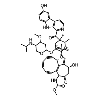 COC(=O)NC1C(=O)C[C@H](O)/C(=C/CS(C)(=S)=S)C2=C1C#C/C=C\C#C[C@@H]2OC1OC(C)C(F)(C(=O)c2nccc3c2[nH]c2ccc(O)cc23)CC1OC1CC(OC)C(NC(C)C)CO1